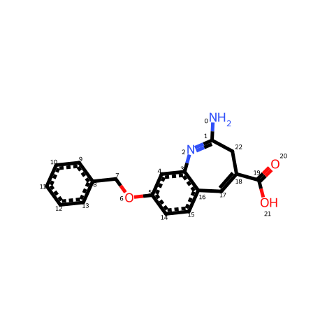 NC1=Nc2cc(OCc3ccccc3)ccc2C=C(C(=O)O)C1